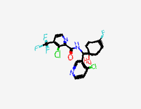 O=C(NC(c1cnccc1Cl)[C@]1(O)CC[C@@H](F)CC1)c1nccc(C(F)(F)F)c1Cl